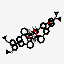 CC1=CC2=C(CCCCC2c2ccc(-c3ccc(OC4CC4)cc3)cc2)[C]12[SiH](C)[C]1(C(C)=CC3=C1CCCCC3c1ccc(-c3ccc(OC4CC4)cc3)cc1)[Zr]21([Cl])([Cl])[C]2(C(C)=CC3=C2CCCCC3c2ccc(-c3ccc(OC4CC4)cc3)cc2)[SiH](C)[C]12C(C)=CC1=C2CCCCC1c1ccc(-c2ccc(OC3CC3)cc2)cc1